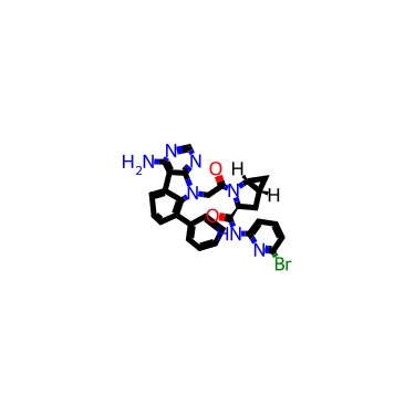 Nc1ncnc2c1c1cccc(-c3ccccc3)c1n2CC(=O)N1[C@@H]2C[C@@H]2C[C@H]1C(=O)Nc1cccc(Br)n1